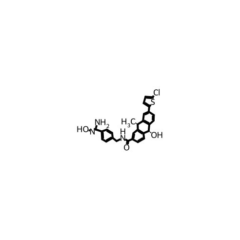 C[C@H]1c2cc(C(=O)NCc3ccc(C(N)=NO)cc3)ccc2[C@@H](O)c2ccc(-c3ccc(Cl)s3)cc21